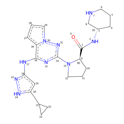 O=C(N[C@H]1CCCNC1)[C@H]1CCCN1c1nc(Nc2cc(C3CC3)[nH]n2)c2cccn2n1